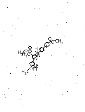 CCOC(=O)C1CCN(c2ccc(-c3nc4nc(-c5cnc(OCC)c(C(F)(F)F)c5)cc(N(C)CC5(COC)CCC5)c4[nH]3)cc2)CC1